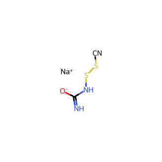 N#CSSNC(=N)[O-].[Na+]